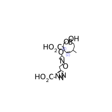 CC1/C=C\C(OC2CN(C(=O)CC3=CN(CC(=O)O)N=NC3)C2)=C(\C(=O)O)COB(O)CC1